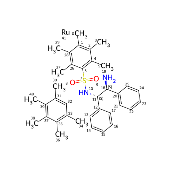 Cc1c(C)c(C)c(S(=O)(=O)N[C@@H](c2ccccc2)[C@@H](N)c2ccccc2)c(C)c1C.Cc1cc(C)c(C)c(C)c1C.[Ru]